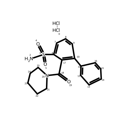 Cl.Cl.NS(=O)(=O)c1cccc(-c2ccccc2)c1C(=O)N1CCCCC1